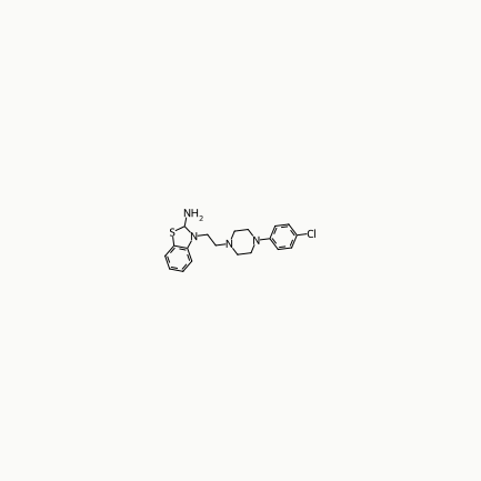 NC1Sc2ccccc2N1CCN1CCN(c2ccc(Cl)cc2)CC1